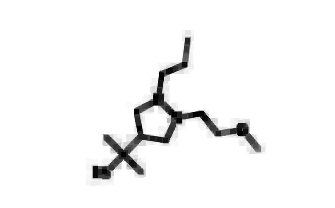 CCCN1CC(C(C)(C)S)CN1CCOC